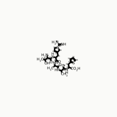 CC(NC(=O)C(C)NC(=O)C(CC1=CCN(C(=N)N)C1)NC(=O)C(N)C(C)O)C(=O)NC(Cc1cccs1)C(=O)O